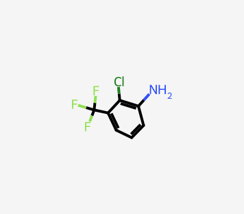 Nc1cccc(C(F)(F)F)c1Cl